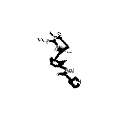 CN1C(=O)C[C@@](C)(c2cccc(NC(=O)c3cccnc3)c2)N=C1N